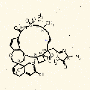 CO[C@@]1(CC2=N[C@@H](C)C(=O)O2)/C=C/C[C@H](C)[C@@H](C)S(=O)(=O)NC(=O)c2ccc3c(c2)N(C[C@@H]2CC[C@H]21)C[C@@]1(CCCC2=CC(Cl)=CCC21C)CO3